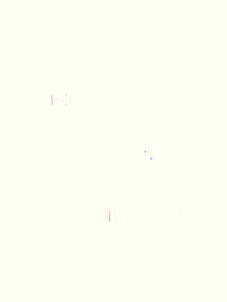 O=C(O)N1CCCCC(O)C1